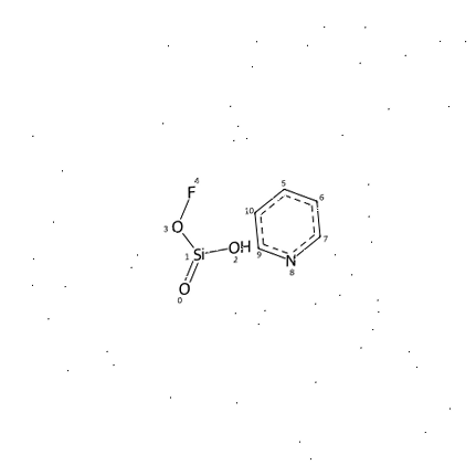 O=[Si](O)OF.c1ccncc1